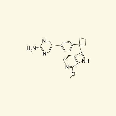 COc1nccc2c(C3(c4ccc(-c5cnc(N)nc5)cc4)CCC3)c[nH]c12